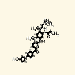 C=CC(=O)Nc1cc(Nc2nccc(C(=O)c3ccc(N4CCC(O)C4)cc3)n2)c(OC)cc1N(C)CCN(C)C